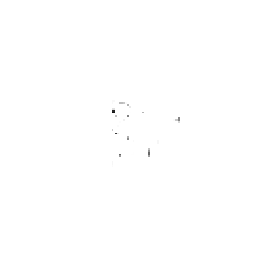 C(=CC1CCNC1)c1cncc(OC2CCOCC2)c1.O=C(O)CC(O)C(=O)O